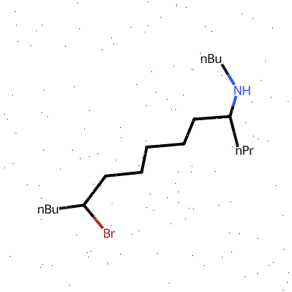 CCCCNC(CCC)CCCCCC(Br)CCCC